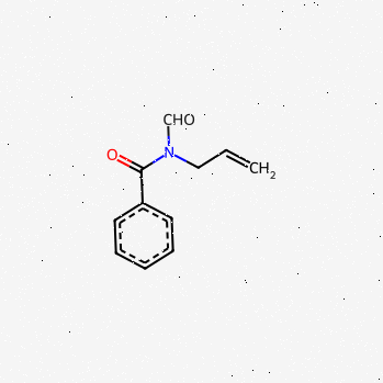 C=CCN(C=O)C(=O)c1ccccc1